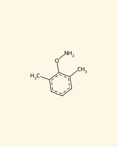 Cc1cccc(C)c1ON